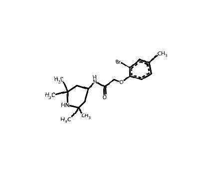 Cc1ccc(OCC(=O)NC2CC(C)(C)NC(C)(C)C2)c(Br)c1